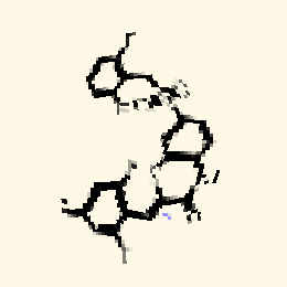 O=C1Nc2ccc(S(=O)(=O)Cc3c(F)cccc3F)cc2S/C1=C\c1c(F)cc(F)cc1F